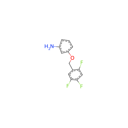 Nc1cccc(OCc2cc(F)c(F)cc2F)c1